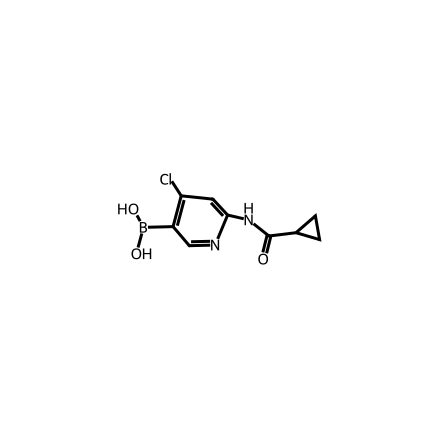 O=C(Nc1cc(Cl)c(B(O)O)cn1)C1CC1